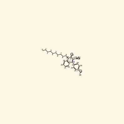 CCCCCCCCCCSC(=O)/C(C#N)=C(\c1ccccc1)c1ccc(OC)cc1